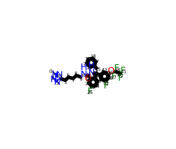 Cn1nnc(CCCCCNC(=O)N[C@](Cc2ccccc2)(c2ccc(F)cc2)c2cc(F)cc(OC(F)(F)C(F)F)c2)n1